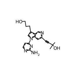 CC(C)(O)C#Cc1cc2c(cn1)c(CCCO)cn2-c1ccnc(N)n1